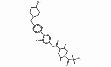 CC1CN(C(=O)C(C)(C)N)C(C)CN1C(=O)Nc1ccn(-c2ccc(CN3CCC(N)CC3)cc2)c(=O)n1